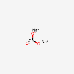 [Na+].[Na+].[O]=[Ge]([O-])[O-]